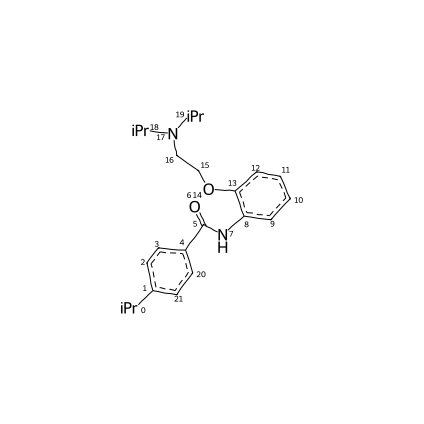 CC(C)c1ccc(C(=O)Nc2ccccc2OCCN(C(C)C)C(C)C)cc1